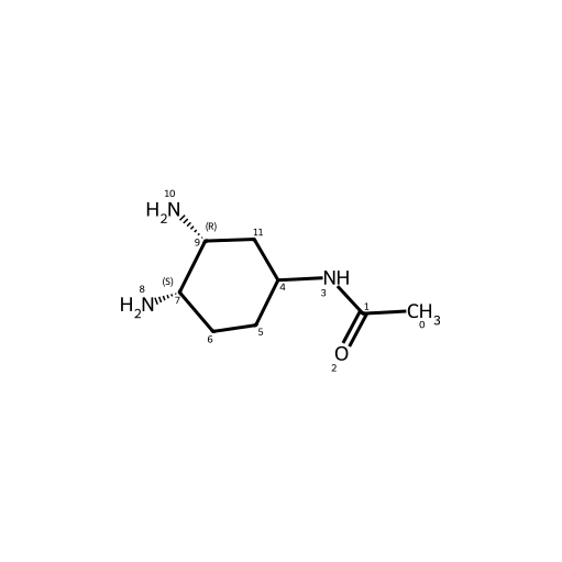 CC(=O)NC1CC[C@H](N)[C@H](N)C1